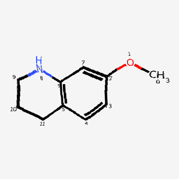 COc1[c]cc2c(c1)NCCC2